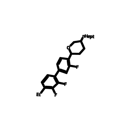 CCCCCCCC1CCC(c2ccc(-c3ccc(CC)c(F)c3F)cc2F)OC1